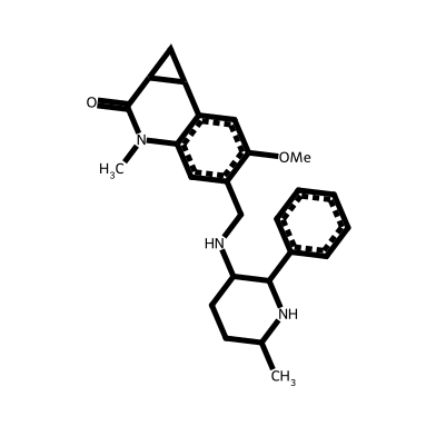 COc1cc2c(cc1CNC1CCC(C)NC1c1ccccc1)N(C)C(=O)C1CC21